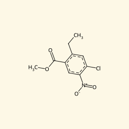 CCc1cc(Cl)c([N+](=O)[O-])cc1C(=O)OC